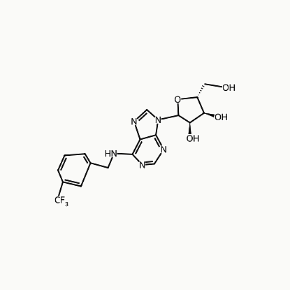 OC[C@H]1OC(n2cnc3c(NCc4cccc(C(F)(F)F)c4)ncnc32)[C@H](O)[C@@H]1O